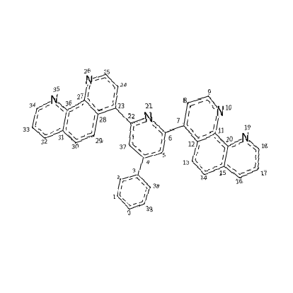 c1ccc(-c2cc(-c3ccnc4c3ccc3cccnc34)nc(-c3ccnc4c3ccc3cccnc34)c2)cc1